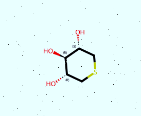 O[C@H]1[C@H](O)CS[CH][C@@H]1O